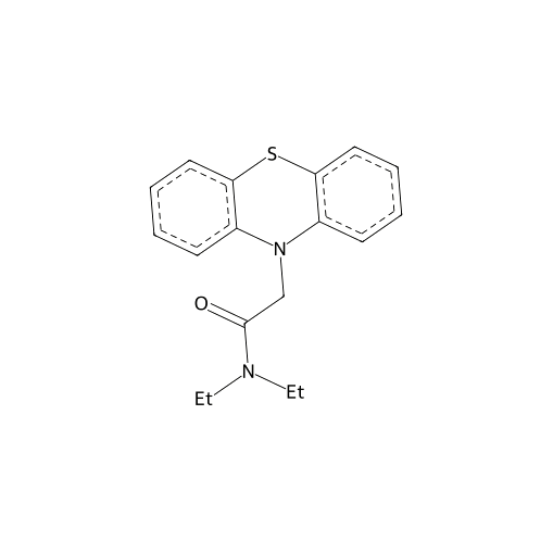 CCN(CC)C(=O)CN1c2ccccc2Sc2ccccc21